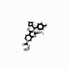 CC(C)(C)OC(=O)N1CCc2c(nc(N)n(C(c3ccc(F)cc3)C3CCC3)c2=O)C1